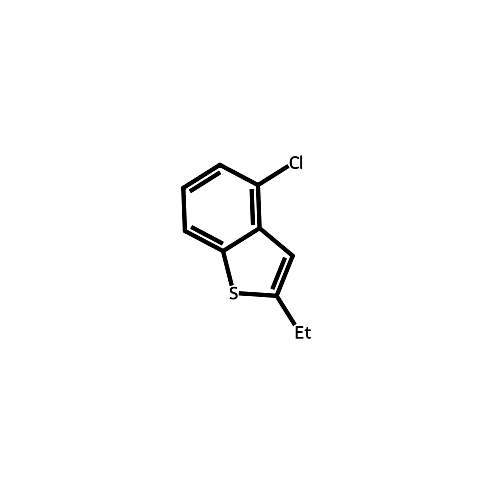 [CH2]Cc1cc2c(Cl)cccc2s1